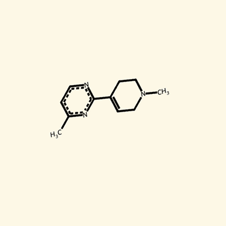 Cc1ccnc(C2=CCN(C)CC2)n1